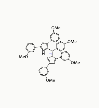 COc1ccc(/C(=C2/N=C(c3cccc(OC)c3)C=C2c2cccc(OC)c2)c2[nH]c(-c3cccc(OC)c3)cc2-c2cccc(OC)c2)cc1